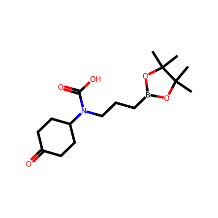 CC1(C)OB(CCCN(C(=O)O)C2CCC(=O)CC2)OC1(C)C